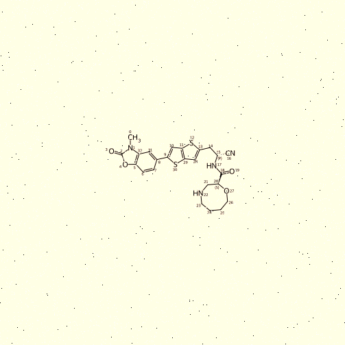 Cn1c(=O)oc2ccc(-c3cc4sc(C[C@H](C#N)NC(=O)[C@@H]5CNCCCCO5)cc4s3)cc21